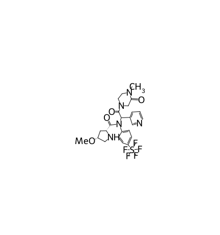 CO[C@H]1CN[C@@H](C(=O)N(c2ccc(S(F)(F)(F)(F)F)cc2)C(C(=O)N2CCN(C)C(=O)C2)c2cccnc2)C1